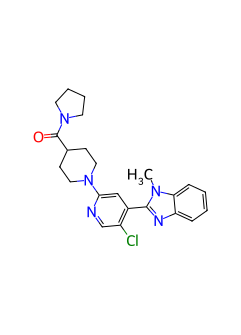 Cn1c(-c2cc(N3CCC(C(=O)N4CCCC4)CC3)ncc2Cl)nc2ccccc21